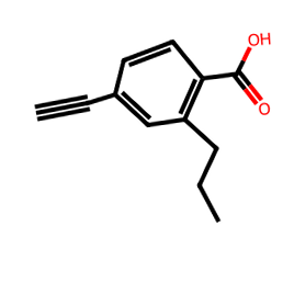 C#Cc1ccc(C(=O)O)c(CCC)c1